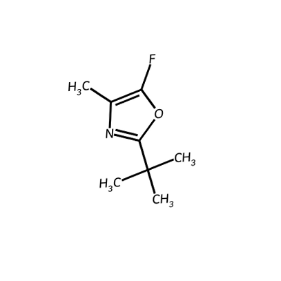 Cc1nc(C(C)(C)C)oc1F